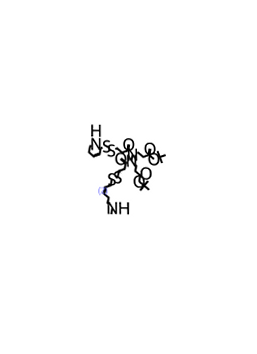 CNCC/C=C\CSSCCC(=O)N(CCC(=O)OC(C)(C)C)N(CCC(=O)OC(C)(C)C)C(=O)CCSSC1C=CCCN1